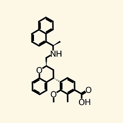 COc1c([C@H]2C[C@H](CN[C@H](C)c3cccc4ccccc34)Oc3ccccc32)ccc(C(=O)O)c1C